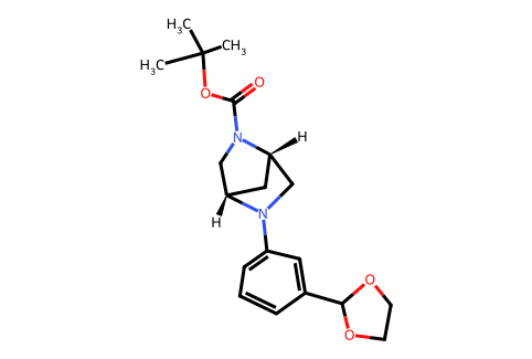 CC(C)(C)OC(=O)N1C[C@@H]2C[C@H]1CN2c1cccc(C2OCCO2)c1